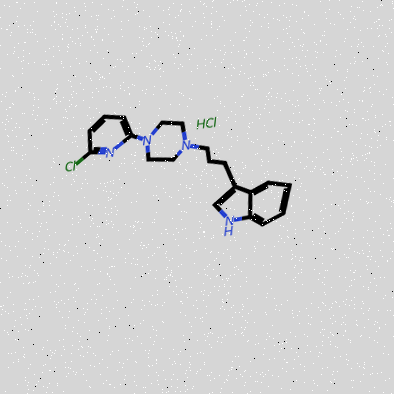 Cl.Clc1cccc(N2CCN(CCCc3c[nH]c4ccccc34)CC2)n1